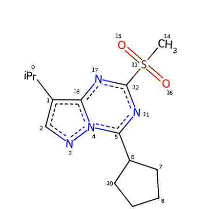 CC(C)c1cnn2c(C3CCCC3)nc(S(C)(=O)=O)nc12